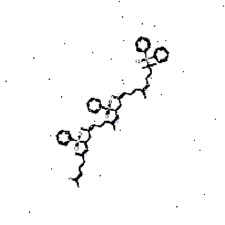 CC(C)=CCC/C(C)=C/C(C/C(C)=C\CC/C(C)=C\C(C/C(C)=C\CC/C(C)=C\CCC(C)(C)[Si](O)(c1ccccc1)c1ccccc1)S(=O)(=O)c1ccccc1)S(=O)(=O)c1ccccc1